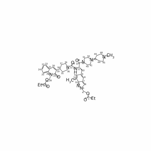 CCC(=O)OCn1cc2cc(C[C@@H](NC(=O)N3CCC(c4cc5ccccc5n(COC(=O)CC)c4=O)CC3)C(=O)N3CCN(C4CCN(C)CC4)CC3)cc(C)c2n1